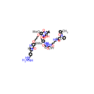 COc1cc2c(cc1OCCCCCOc1cc3c(cc1OC)C(=O)N1CC4(CC4)C[C@H]1C(O)N3C(=O)OCc1ccc(NC(=O)[C@H](C)NC(=O)[C@@H](NC(=O)CCCCNC(=O)CCC(=O)N(Cc3ccccc3C)c3ccccc3C)C(C)C)cc1)N=C[C@@H]1CC(c3ccc(CNC(=N)N)cc3)=CN1C2=O